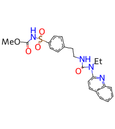 CCN(C(=O)NCCc1ccc(S(=O)(=O)NC(=O)OC)cc1)c1ccc2ccccc2n1